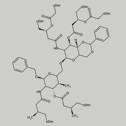 CCCCCCCCCCCC(=O)O[C@H](CCCCCCCCCCC)CC(=O)NC1[C@H](OCC2O[C@H](OCc3ccccc3)C(NC(=O)C[C@H](C)CCCCCCCCCCC)[C@@H](OC(=O)C[C@H](C)CCCCCCCCCCC)[C@@H]2C)OC2COC(c3ccccc3)O[C@H]2[C@@H]1OC(=O)C[C@@H](CCCCCCCCCCC)OC(=O)CCCCCCCCCCC